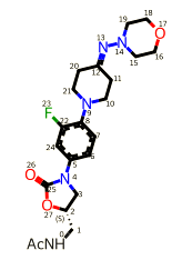 CC(=O)NC[C@H]1CN(c2ccc(N3CCC(=NN4CCOCC4)CC3)c(F)c2)C(=O)O1